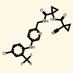 N#CC1(C(=O)NC2(C(=O)NCc3ccc(Nc4ccc(Cl)cc4C(F)(F)F)cn3)CC2)CC1